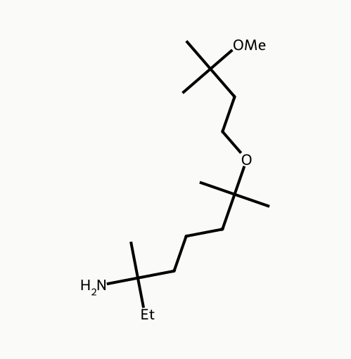 CCC(C)(N)CCCC(C)(C)OCCC(C)(C)OC